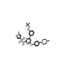 CN1CCN(c2ccc(Oc3cc(-c4cccc(OCC(C)(C)C)c4)nc(NS(=O)(=O)c4cnn(C)c4)n3)cc2)CC1